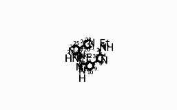 CCNCc1cncc(-c2ccc3[nH]nc(-c4nc5c(-c6ccncc6)ccnc5[nH]4)c3c2F)c1